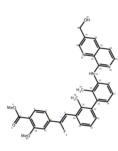 COC(=O)c1ccc(/C(F)=C/c2cccc(-c3cccc(Nc4nccc5cc(CO)cnc45)c3C)c2C)cc1OC